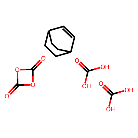 C1=CC2CCC1CC2.O=C(O)O.O=C(O)O.O=C1OC(=O)O1